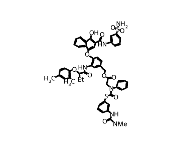 CCC(Oc1ccc(C)cc1C)C(=O)Nc1cc(COC(=O)CN(C(=O)Sc2cccc(NC(=O)NC)c2)c2ccccc2)ccc1Oc1cc(C(=O)Nc2cccc(S(N)(=O)=O)c2)c(O)c2ccccc12